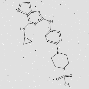 CS(=O)(=O)N1CCN(c2ccc(Nc3nc(NC4CC4)c4occc4n3)cc2)CC1